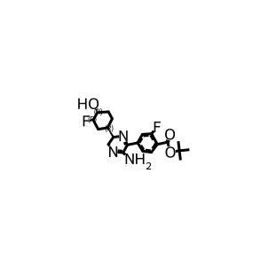 CC(C)(C)OC(=O)c1ccc(C2=NC([C@@H]3CC[C@@H](O)[C@H](F)C3)CN=C2N)cc1F